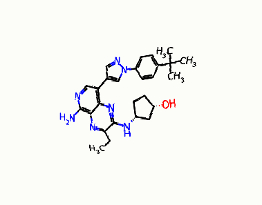 CCc1nc2c(N)ncc(-c3cnn(-c4ccc(C(C)(C)C)cc4)c3)c2nc1N[C@@H]1CC[C@H](O)C1